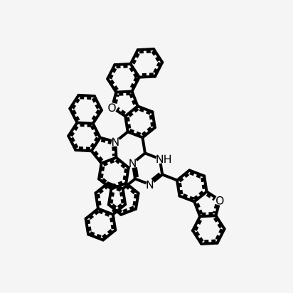 c1ccc2cc(C3=NC(c4ccc5c(oc6ccc7ccccc7c65)c4-n4c5cc6ccccc6cc5c5ccc6ccccc6c54)NC(c4ccc5oc6ccccc6c5c4)=N3)ccc2c1